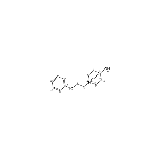 OC12CC[N+](CCOc3ccccc3)(CC1)CC2